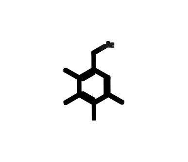 CC(=O)Cc1cc(C)c(C)c(C)c1C